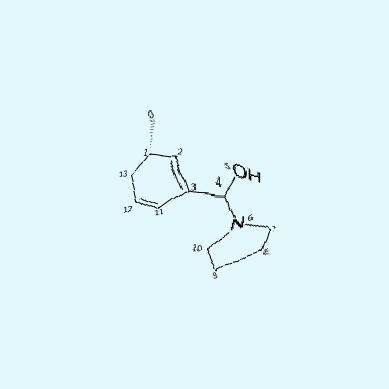 C[C@@H]1C=C(C(O)N2CCCC2)C=CC1